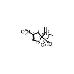 NC1(S(=O)(=O)F)CC([N+](=O)[O-])=CS1